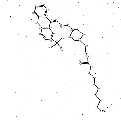 CCCCCCCCCC(=O)OCCN1CCN(CCC=C2c3ccccc3Sc3ccc(C(F)(F)F)cc32)CC1